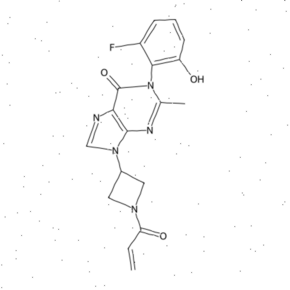 C=CC(=O)N1CC(n2cnc3c(=O)n(-c4c(O)cccc4F)c(C)nc32)C1